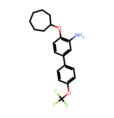 Nc1cc(-c2ccc(OC(F)(F)F)cc2)ccc1OC1CCCCCC1